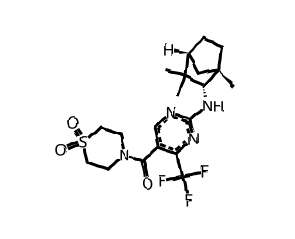 CC1(C)[C@@H]2CC[C@@](C)(C2)[C@@H]1Nc1ncc(C(=O)N2CCS(=O)(=O)CC2)c(C(F)(F)F)n1